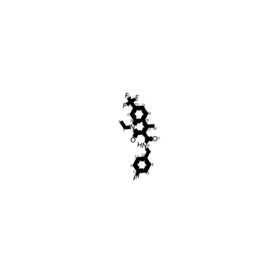 CCn1c(=O)c(C(=O)NCc2ccc(F)cc2)c(C)c2ccc(C(F)(F)F)cc21